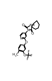 Cc1ccc(Oc2cc(N3C(=O)NC4(CCCCC4)C3=O)ccn2)cc1OC(F)(F)F